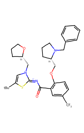 CC(C)(C)c1cn(C[C@@H]2CCCO2)/c(=N/C(=O)c2cc(C(F)(F)F)ccc2OC[C@@H]2CCCN2Cc2ccccc2)s1